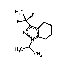 CC(C)n1nc(C(C)(F)F)c2c1CCCC2